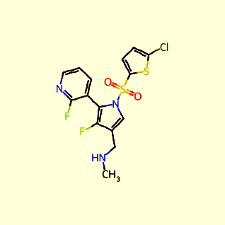 CNCc1cn(S(=O)(=O)c2ccc(Cl)s2)c(-c2cccnc2F)c1F